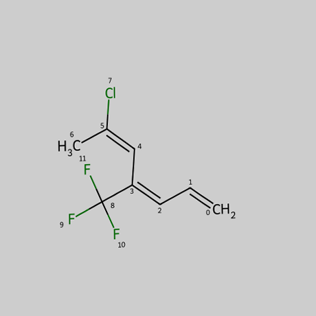 C=C/C=C(\C=C(/C)Cl)C(F)(F)F